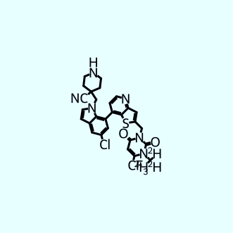 [2H]C([2H])([2H])n1c(C(F)(F)F)cc(=O)n(Cc2cc3nccc(-c4cc(Cl)cc5ccn(CC6(C#N)CCNCC6)c45)c3s2)c1=O